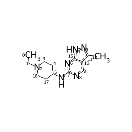 CCN1CCC(Nc2ncc3c(C)n[nH]c3n2)CC1